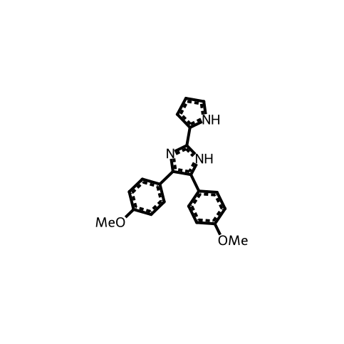 COc1ccc(-c2nc(-c3ccc[nH]3)[nH]c2-c2ccc(OC)cc2)cc1